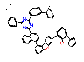 c1ccc(-c2cccc(-c3nc(-c4ccccc4)nc(-c4ccc(-c5cccc6oc7cc(-c8cccc9c8oc8ccccc89)ccc7c56)c5ccccc45)n3)c2)cc1